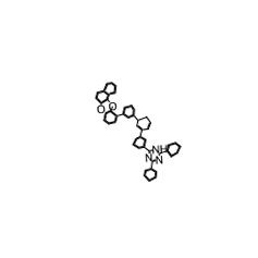 C1=CC(c2cccc(C3=NC(c4ccccc4)=NC(c4ccccc4)N3)c2)=CC(c2cccc(-c3cccc4c3Oc3c(ccc5ccccc35)O4)c2)C1